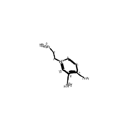 CCCCCCCCCCC[n+]1ccc(CCC)c(CCC)c1